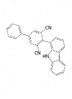 N#Cc1cc(-c2ccccc2)cc(C#N)c1-c1cccc2c1[nH]c1ccccc12